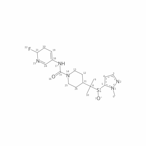 Cn1nccc1[S+]([O-])C(C)(C)C1CCN(C(=O)NC2=CCC(F)N=C2)CC1